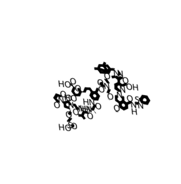 COCCN(CCOC12CC3(C)CC(C)(CC(Cn4ncc(-c5ccc(N6CCc7c(OC)ccc(C(=O)Nc8nc9ccccc9s8)c7C6)nc5C(=O)O)c4C)(C3)C1)C2)C(=O)OCc1ccc(NC(=O)[C@H](C)NC(=O)[C@@H](NC(=O)CN2C(=O)[C@@H](N3C(=O)C=CC3=O)C[C@H]2COCCS(=O)O)C(C)C)cc1CCC[C@H]1C[C@@H](O)C[C@@H](C(=O)O)O1